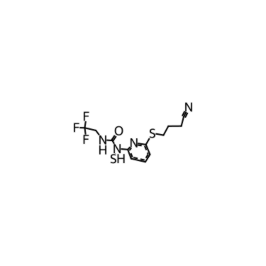 N#CCCCSc1cccc(N(S)C(=O)NCC(F)(F)F)n1